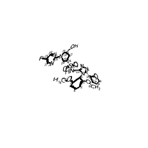 COc1cccc(OC)c1-n1c(NS(=O)(=O)[C@H]2C[C@H](O)CN(c3ncc(F)cn3)C2)nnc1[C@H]1CCCO1